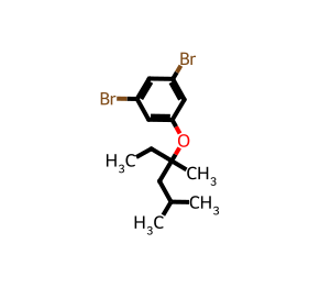 CCC(C)(CC(C)C)Oc1cc(Br)cc(Br)c1